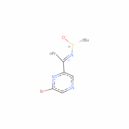 CCC/C(=N\[S@+]([O-])C(C)(C)C)c1cncc(Br)n1